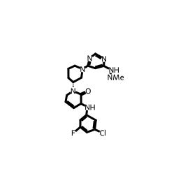 CNNc1cc(N2CCC[C@@H](N3CC=CC(Nc4cc(F)cc(Cl)c4)C3=O)C2)ncn1